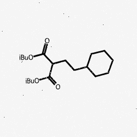 CC(C)COC(=O)C(CCC1CCCCC1)C(=O)OCC(C)C